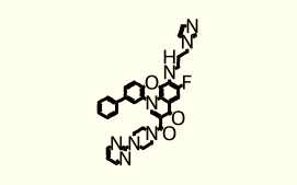 O=C(c1cn2c3c(c(NCCCn4ccnc4)c(F)cc3c1=O)Oc1ccc(-c3ccccc3)cc1-2)N1CCN(c2ncccn2)CC1